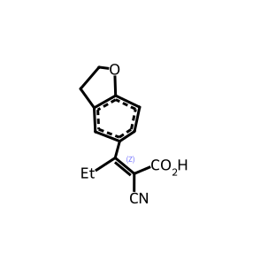 CC/C(=C(\C#N)C(=O)O)c1ccc2c(c1)CCO2